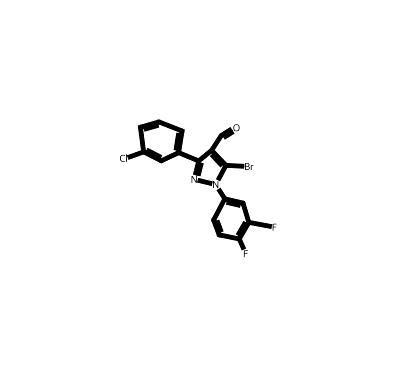 O=Cc1c(-c2cccc(Cl)c2)nn(-c2ccc(F)c(F)c2)c1Br